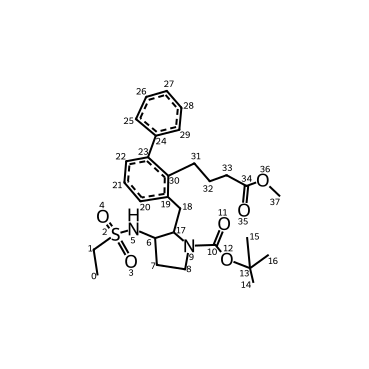 CCS(=O)(=O)NC1CCN(C(=O)OC(C)(C)C)C1Cc1cccc(-c2ccccc2)c1CCCC(=O)OC